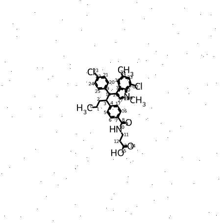 CCCC(c1ccc(C(=O)NCCC(=O)O)cc1)C(c1ccc(Cl)cc1)c1cn(C)c2c(Cl)cc(C)cc12